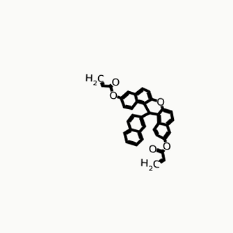 C=CC(=O)Oc1ccc2c3c(ccc2c1)Oc1ccc2cc(OC(=O)C=C)ccc2c1C3c1ccc2ccccc2c1